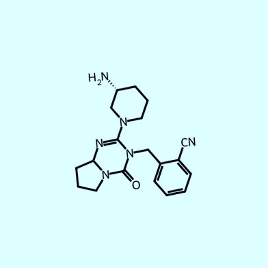 N#Cc1ccccc1CN1C(=O)N2CCCC2N=C1N1CCC[C@@H](N)C1